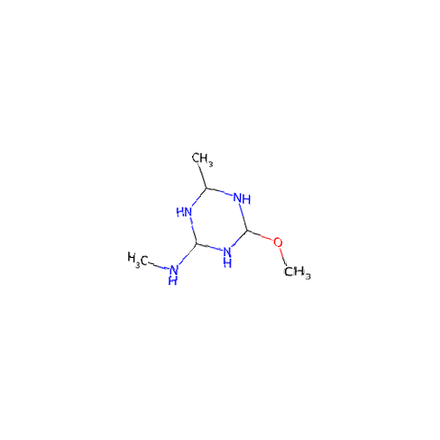 CNC1NC(C)NC(OC)N1